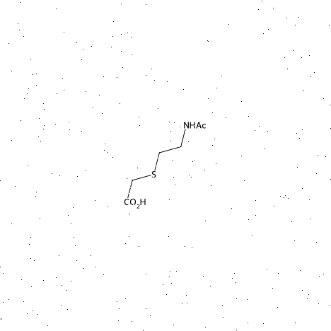 CC(=O)NCCSCC(=O)O